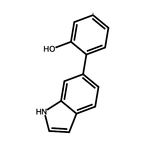 Oc1c[c]ccc1-c1ccc2cc[nH]c2c1